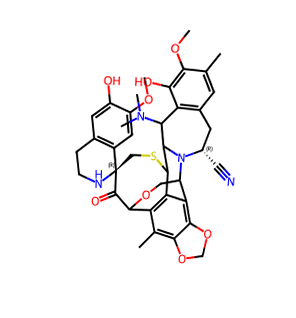 COc1cc2c(cc1O)CCN[C@]21CSC2c3c4c(C)c5c(c3C(COC4C1=O)N1C2C(N(C)C)c2c(cc(C)c(OC)c2O)C[C@@H]1C#N)OCO5